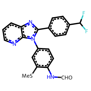 CSc1cc(-n2c(-c3ccc(C(F)F)cc3)nc3cccnc32)ccc1NC=O